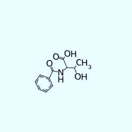 CC(O)C(NC(=O)c1ccccc1)C(=O)O